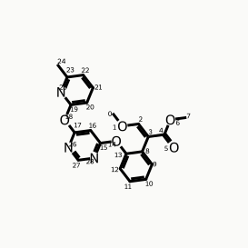 CO/C=C(/C(=O)OC)c1ccccc1Oc1cc(Oc2cccc(C)n2)ncn1